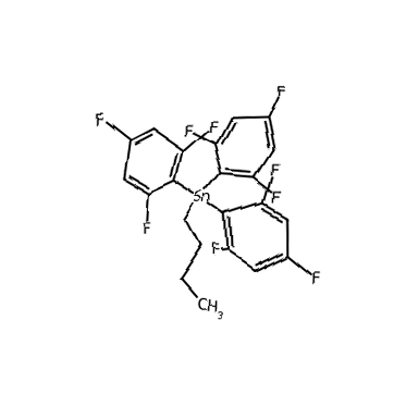 CCC[CH2][Sn]([c]1c(F)cc(F)cc1F)([c]1c(F)cc(F)cc1F)[c]1c(F)cc(F)cc1F